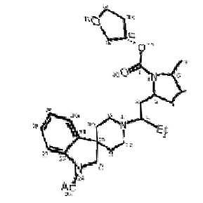 CCC(CC1CCC(C)N1C(=O)O[C@H]1CCOC1)N1CCC2(CC1)CN(C(C)=O)c1ccccc12